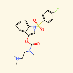 CN(C)CCN(C)C(=O)Oc1cn(S(=O)(=O)c2ccc(F)cc2)c2ccccc12